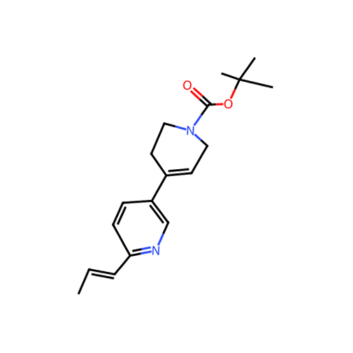 CC=Cc1ccc(C2=CCN(C(=O)OC(C)(C)C)CC2)cn1